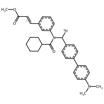 [2H]C(c1ccc(-c2ccc(N(C)C)cc2)cc1)N(C(=O)C1CCCCC1)c1cccc(/C=C/C(=O)OC)c1